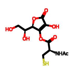 CC(=O)N[C@@H](CS)C(=O)OC1=C(O)C(=O)O[C@@H]1[C@@H](O)CO